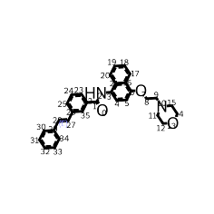 O=C(Nc1ccc(OCCN2CCOCC2)c2ccccc12)c1cccc(/C=C/c2ccccc2)c1